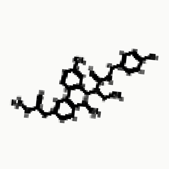 CCN(Cc1cc(C)ccc1-c1cc(CC(=O)OC)ccc1OC)C(=O)OCc1ccc(Cl)cc1